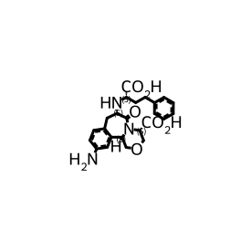 Nc1ccc2c(c1)[C@H]1COC[C@@H](C(=O)O)N1C(=O)[C@@H](N[C@@H](CCc1ccccc1)C(=O)O)C2